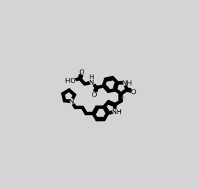 O=C(O)CNC(=O)c1ccc2c(c1)/C(=C\c1cc3cc(CCCN4CCCC4)ccc3[nH]1)C(=O)N2